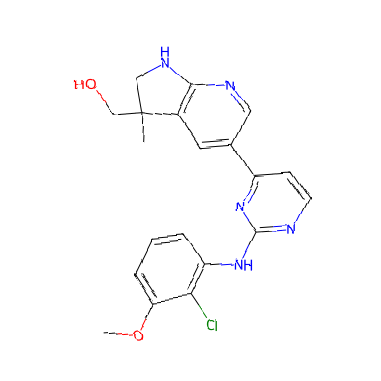 COc1cccc(Nc2nccc(-c3cnc4c(c3)C(C)(CO)CN4)n2)c1Cl